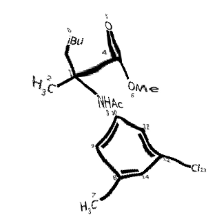 CCC(C)C(C)(NC(C)=O)C(=O)OC.Cc1cccc(Cl)c1